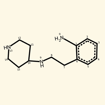 Nc1ccccc1CCNC1CCNCC1